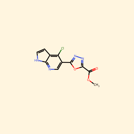 COC(=O)c1nnc(-c2cnc3[nH]ccc3c2Cl)o1